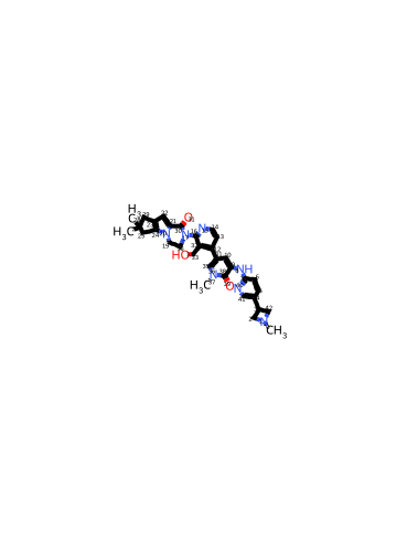 CN1CC(c2ccc(Nc3cc(-c4ccnc(N5CCn6c(cc7c6CC(C)(C)C7)C5=O)c4CO)cn(C)c3=O)nc2)C1